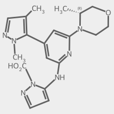 Cc1cnn(C)c1-c1cc(Nc2ccnn2C(=O)O)nc(N2CCOC[C@H]2C)c1